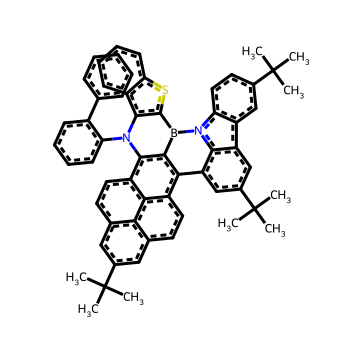 CC(C)(C)c1cc2ccc3c4c5c(c6ccc(c1)c2c36)N(c1ccccc1-c1ccccc1)c1c(sc2ccccc12)B5n1c2ccc(C(C)(C)C)cc2c2cc(C(C)(C)C)cc-4c21